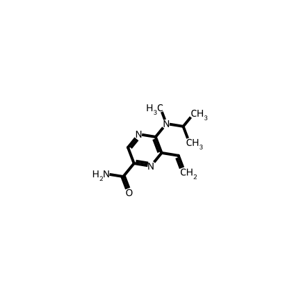 C=Cc1nc(C(N)=O)cnc1N(C)C(C)C